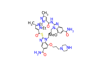 CCn1nc(C)cc1C(=O)Nc1nc2cc(C(N)=O)cc(OC)c2n1C/C=C/Cn1c(SC(=O)c2cc(C)nn2CC)nc2cc(C(N)=O)cc(OCCCN3CCNCC3)c21